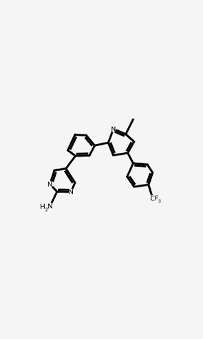 Cc1cc(-c2ccc(C(F)(F)F)cc2)cc(-c2cccc(-c3cnc(N)nc3)c2)n1